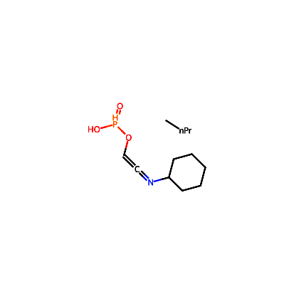 CCCC.O=[PH](O)OC=C=NC1CCCCC1